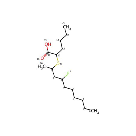 CCCCCCC(F)CC(C)SC(CCCC)C(=O)O